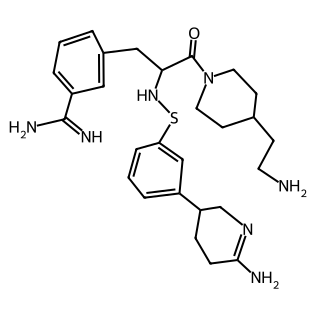 N=C(N)c1cccc(CC(NSc2cccc(C3CCC(N)=NC3)c2)C(=O)N2CCC(CCN)CC2)c1